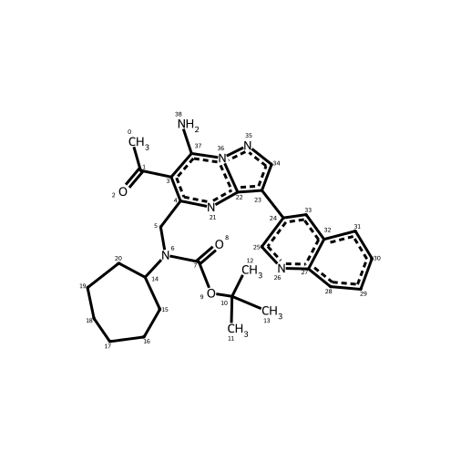 CC(=O)c1c(CN(C(=O)OC(C)(C)C)C2CCCCCC2)nc2c(-c3cnc4ccccc4c3)cnn2c1N